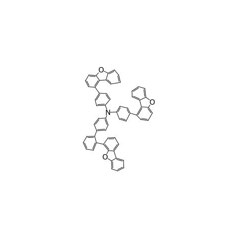 c1ccc(-c2cccc3c2oc2ccccc23)c(-c2ccc(N(c3ccc(-c4cccc5oc6ccccc6c45)cc3)c3ccc(-c4cccc5oc6ccccc6c45)cc3)cc2)c1